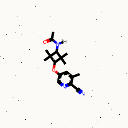 [2H]N(C(C)=O)C1C(C)(C)C(Oc2cnc(C#N)c(C)c2)C1(C)C